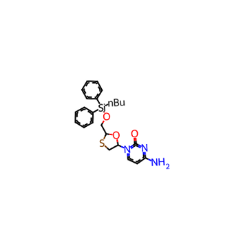 CCCC[Si](OCC1OC(n2ccc(N)nc2=O)CS1)(c1ccccc1)c1ccccc1